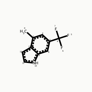 Cc1cc(C(F)(F)F)cc2[nH]ccc12